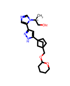 C[C@@H](CO)n1cncc1-c1cc(C23CCC(COC4CCCCO4)(C2)C3)[nH]n1